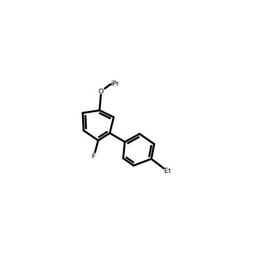 CCc1ccc(-c2cc(OC(C)C)ccc2F)cc1